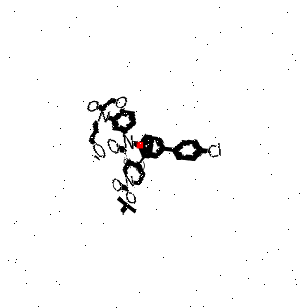 COCCCN1C(=O)COc2ccc(N(C(=O)[C@H]3CN(C(=O)OC(C)(C)C)CC[C@@H]3c3cccc(-c4ccc(Cl)cc4)c3)C3CC3)cc21